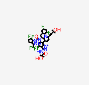 Cn1nc(NC(=O)C(C)(C)O)c2c(Cl)ccc(-c3ccc(C#CC(C)(C)O)nc3C(Cc3cc(F)cc(F)c3)NC(=O)n3nc(C(F)F)c4c3C(F)(F)CC4)c21